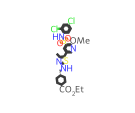 CCOC(=O)[C@H]1CC[C@H](CNc2nc(C)c(-c3cnc(OC)c(S(=O)(=O)Nc4ccc(Cl)cc4Cl)c3)s2)CC1